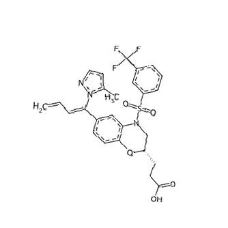 C=C/C=C(/c1ccc2c(c1)N(S(=O)(=O)c1cccc(C(F)(F)F)c1)C[C@H](CCC(=O)O)O2)n1nccc1C